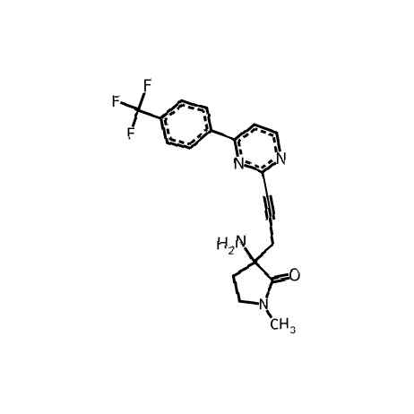 CN1CCC(N)(CC#Cc2nccc(-c3ccc(C(F)(F)F)cc3)n2)C1=O